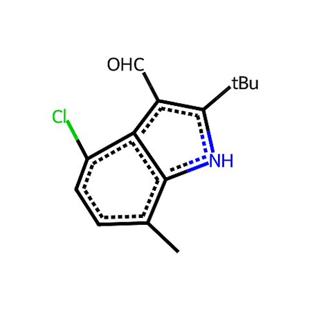 Cc1ccc(Cl)c2c(C=O)c(C(C)(C)C)[nH]c12